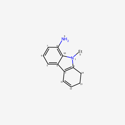 CCn1c2c(c3cccc(N)c31)C=CCC2